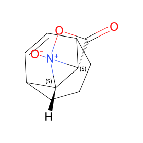 O=C1O[N+]2([O-])[C@H]3C4C=CC(CCC4)[C@@]132